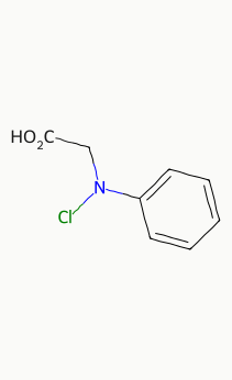 O=C(O)CN(Cl)c1ccccc1